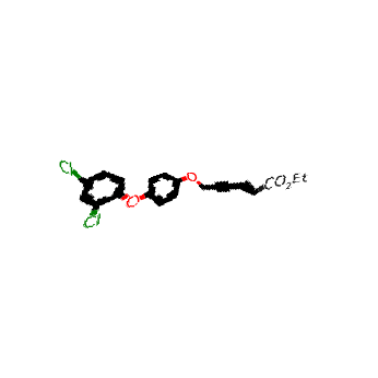 CCOC(=O)C=CC#CCOc1ccc(Oc2ccc(Cl)cc2Cl)cc1